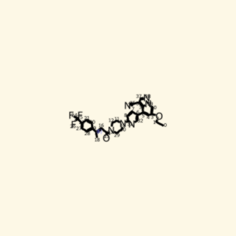 CCOc1cc(-c2ccc(N3CCN(C(=O)/C=C(\C)c4ccc(C(F)(F)F)cc4)CC3)nc2)c2c(C#N)cnn2c1